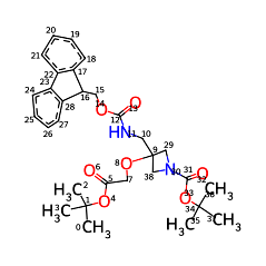 CC(C)(C)OC(=O)COC1(CNC(=O)OCC2c3ccccc3-c3ccccc32)CN(C(=O)OC(C)(C)C)C1